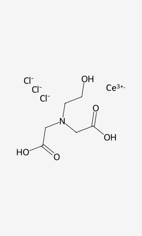 O=C(O)CN(CCO)CC(=O)O.[Ce+3].[Cl-].[Cl-].[Cl-]